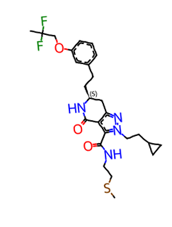 CSCCNC(=O)c1c2c(nn1CCC1CC1)C[C@H](CCc1cccc(OCC(C)(F)F)c1)NC2=O